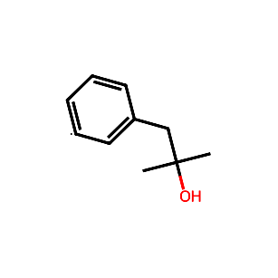 CC(C)(O)Cc1c[c]ccc1